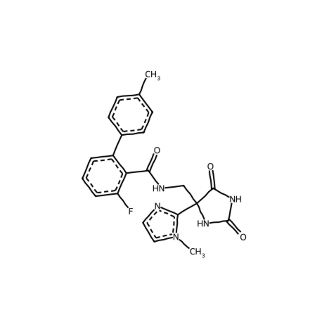 Cc1ccc(-c2cccc(F)c2C(=O)NCC2(c3nccn3C)NC(=O)NC2=O)cc1